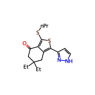 CCCSc1sc(-c2cc[nH]n2)c2c1C(=O)CC(CC)(CC)C2